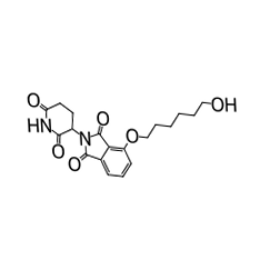 O=C1CCC(N2C(=O)c3cccc(OCCCCCCO)c3C2=O)C(=O)N1